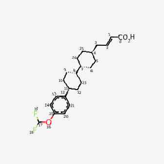 O=C(O)/C=C/C[C@H]1CC[C@H]([C@H]2CC[C@H](c3ccc(OC(F)F)cc3)CC2)CC1